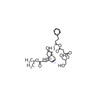 CC(C)OC(=O)CCC/C=C\C[C@@H]1[C@@H](CC[C@H](CCc2ccccc2)OC(=O)CCC(=O)OC(CO)CO)[C@H](O)C[C@@H]1O